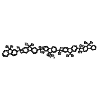 CCCC(C)(c1ccc2c(c1)C(CC)(CC)c1ccccc1-2)c1ccc2c(c1)C(CC)(CC)c1cc3c(cc1-2)CC3(CC)c1ccc2c(c1)C(C)(C(F)(F)F)c1cc(C(C)(CCC)c3ccc4c(c3)C(CC)(CC)c3cc5c(cc3-4)CC5(CC)c3ccc4c(c3)C(CC)(CC)c3ccccc3-4)ccc1-2